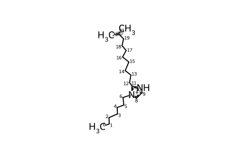 CCCCCCC[n+]1cc[nH]c1CCCCCCCCC(C)C